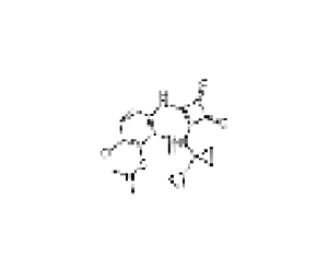 CN(C)Sc1c(Cl)ccc(Nc2c(NC3(C4CC4)CC3)c(=O)c2=O)c1O